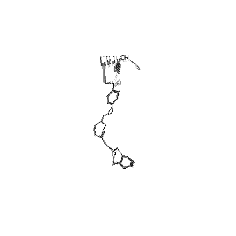 CC#C[C@@H](CC(=O)O)c1ccc(OCC2C=CC(CN3Cc4ccccc4C3)=CC2)cc1